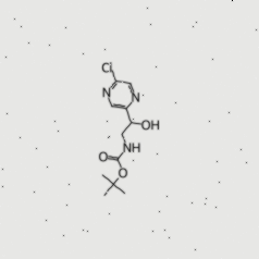 CC(C)(C)OC(=O)NCC(O)c1cnc(Cl)cn1